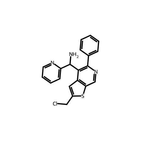 NC(c1ccccn1)c1c(-c2ccccc2)ncc2sc(CCl)cc12